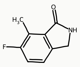 Cc1c(F)ccc2c1C(=O)NC2